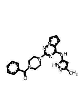 Cc1cc(Nc2nc(N3CCN(C(=O)c4ccccc4)CC3)nn3cccc23)[nH]n1